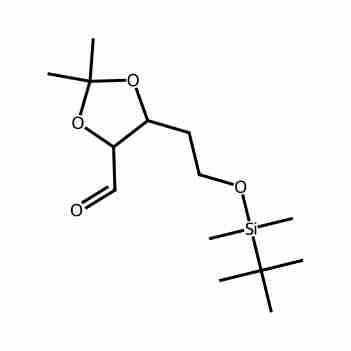 CC1(C)OC(C=O)C(CCO[Si](C)(C)C(C)(C)C)O1